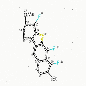 CCc1ccc2cc3c(sc4c(F)c(OC)ccc43)c(F)c2c1F